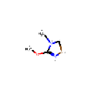 COC1=NSCN1C